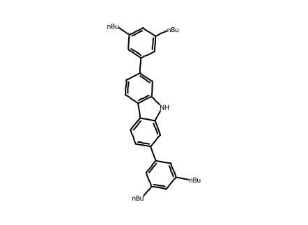 CCCCc1cc(CCCC)cc(-c2ccc3c(c2)[nH]c2cc(-c4cc(CCCC)cc(CCCC)c4)ccc23)c1